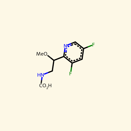 COC(CNC(=O)O)c1ncc(F)cc1F